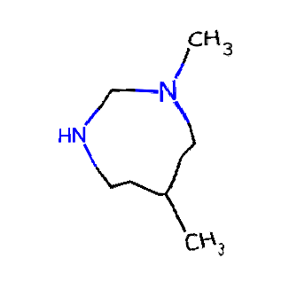 CC1CNCN(C)C1